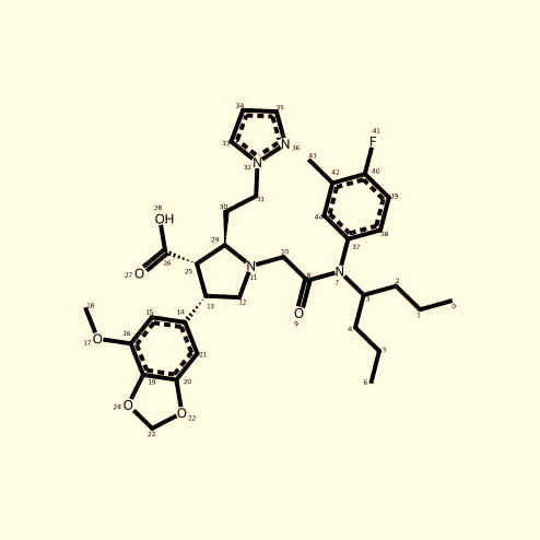 CCCC(CCC)N(C(=O)CN1C[C@H](c2cc(OC)c3c(c2)OCO3)[C@H](C(=O)O)[C@H]1CCn1cccn1)c1ccc(F)c(C)c1